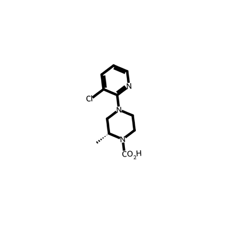 C[C@@H]1CN(c2ncccc2Cl)CCN1C(=O)O